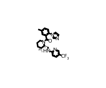 Cc1ccc(-n2ccnc2)c(C(=O)N2CCC[C@@H](C)[C@H]2CNc2ccc(C(F)(F)F)cn2)c1